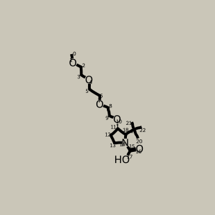 COCCOCCOCCO[C@H]1CCN(C(=O)O)C1C(C)(C)C